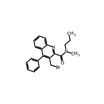 CCCN(C)C(=O)c1nc2ccccc2c(-c2ccccc2)c1CBr